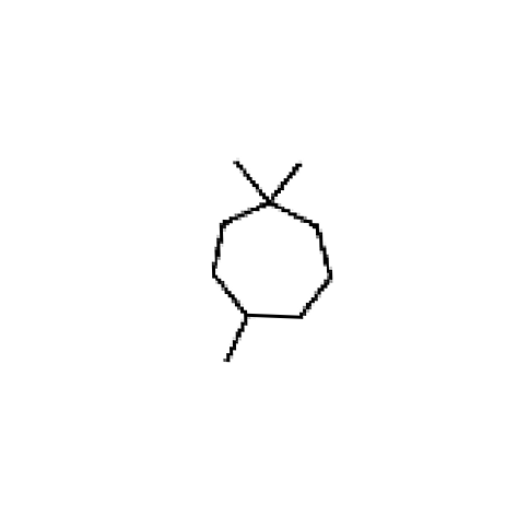 CC1CCCC(C)(C)CC1